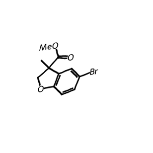 COC(=O)C1(C)COc2ccc(Br)cc21